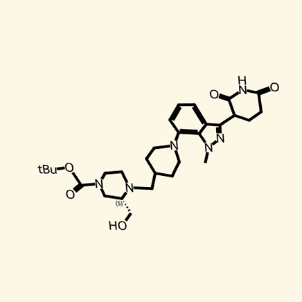 Cn1nc(C2CCC(=O)NC2=O)c2cccc(N3CCC(CN4CCN(C(=O)OC(C)(C)C)C[C@H]4CO)CC3)c21